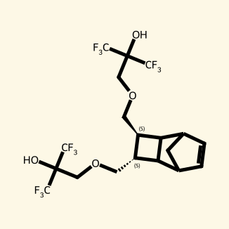 OC(COC[C@H]1C2C3C=CC(C3)C2[C@@H]1COCC(O)(C(F)(F)F)C(F)(F)F)(C(F)(F)F)C(F)(F)F